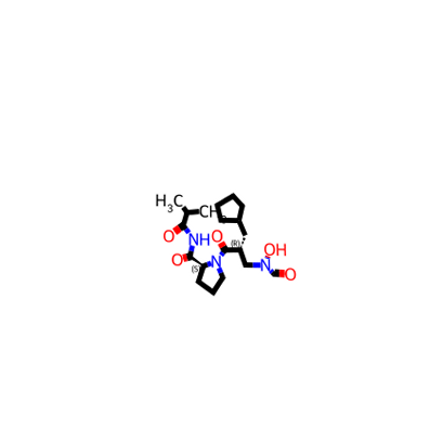 CC(C)C(=O)NC(=O)[C@@H]1CCCN1C(=O)[C@H](CC1CCCC1)CN(O)C=O